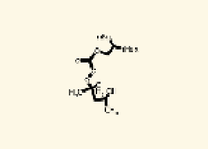 CCCCCCC(CCCC)COC(=O)OOC(C)(C)CC(C)O